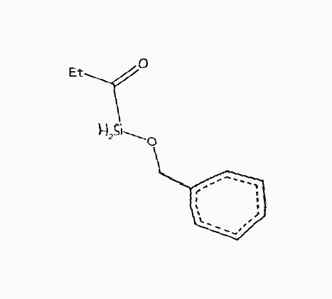 CCC(=O)[SiH2]OCc1ccccc1